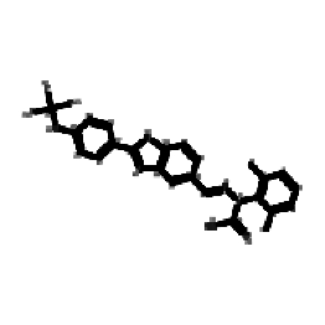 Cc1cccc(C)c1N(/N=C/c1ccc2oc(-c3ccc(OC(F)(F)F)cc3)nc2c1)C(=O)O